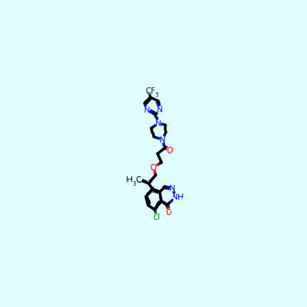 CC(COCCC(=O)N1CCN(c2ncc(C(F)(F)F)cn2)CC1)c1ccc(Cl)c2c(=O)[nH]ncc12